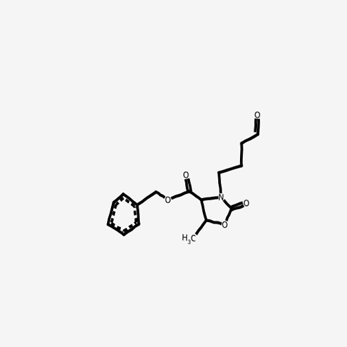 CC1OC(=O)N(CCCC=O)C1C(=O)OCc1ccccc1